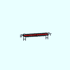 CC(C)NCCOCCOCCOCCOCCOCCOCCOCCOCCOCCOCCOCCOCCOCCOCCOCCOCCOCCOCCOCCOCCOCCOCCOCCNC(=O)C(C)C